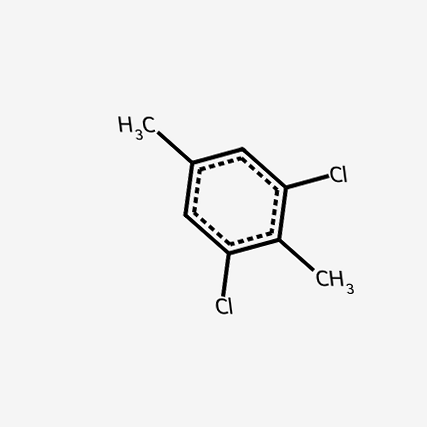 Cc1cc(Cl)c(C)c(Cl)c1